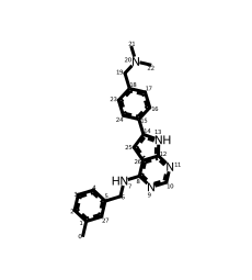 Cc1cccc(CNc2ncnc3[nH]c(-c4ccc(CN(C)C)cc4)cc23)c1